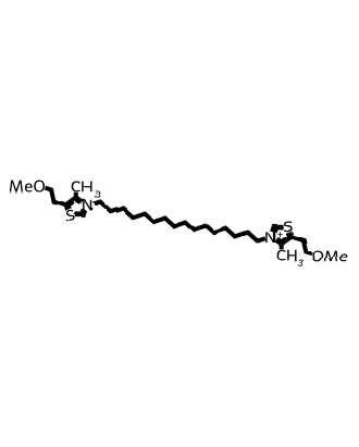 COCCc1sc[n+](CCCCCCCCCCCCCCCC[n+]2csc(CCOC)c2C)c1C